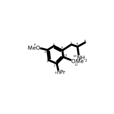 CCCc1cc(OC)cc(CC(C)N)c1OC